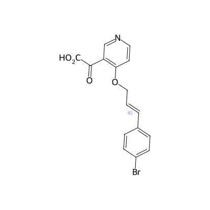 O=C(O)C(=O)c1cnccc1OC/C=C/c1ccc(Br)cc1